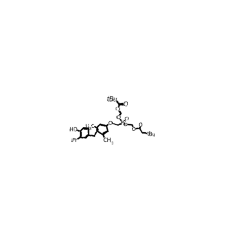 Cc1cc(OCP(=O)(OCOC(=O)CC(C)(C)C)OCOC(=O)C(C)(C)C)cc(C)c1Cc1ccc(O)c(C(C)C)c1